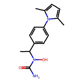 Cc1ccc(C)n1-c1ccc(C(C)N(O)C(N)=O)cc1